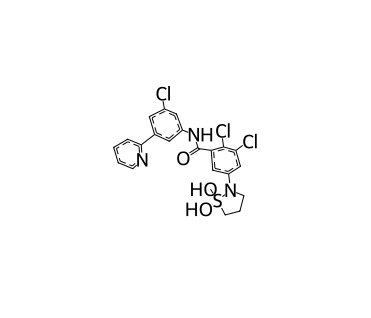 O=C(Nc1cc(Cl)cc(-c2ccccn2)c1)c1cc(N2CCCS2(O)O)cc(Cl)c1Cl